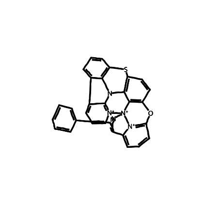 c1ccc(-c2cc3n(n2)[N+]24c5c(ccc6c5-n5c7c(cccc7c7ccc[n+]2c75)S6)Oc2cccc-3[n+]24)cc1